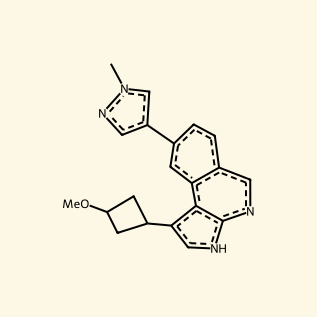 COC1CC(c2c[nH]c3ncc4ccc(-c5cnn(C)c5)cc4c23)C1